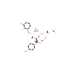 CC(C)(C)OC(=O)N1CC2CC(c3ccc(CO)cc3)=C(C(=O)N(Cc3cccc(Cl)c3Cl)C3CC3)C(C1)N2C(=O)O